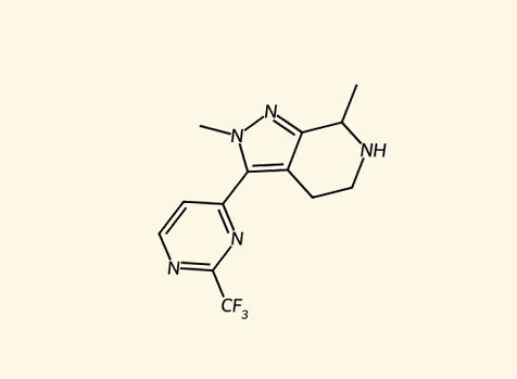 CC1NCCc2c1nn(C)c2-c1ccnc(C(F)(F)F)n1